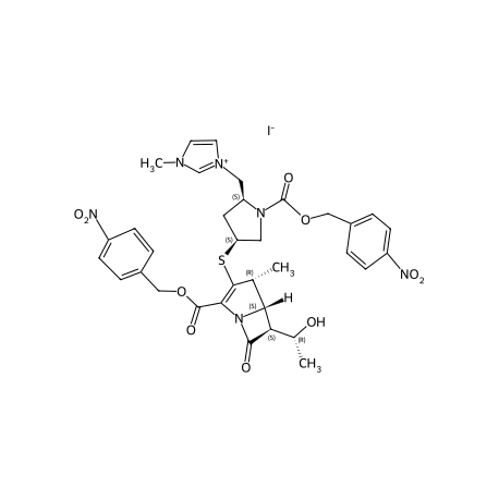 C[C@@H](O)[C@H]1C(=O)N2C(C(=O)OCc3ccc([N+](=O)[O-])cc3)=C(S[C@H]3C[C@@H](C[n+]4ccn(C)c4)N(C(=O)OCc4ccc([N+](=O)[O-])cc4)C3)[C@H](C)[C@H]12.[I-]